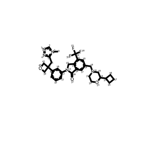 Cn1cnnc1CC1(c2cccc(N3Cc4c(cc(CN5CCOC(C6CCC6)C5)cc4C(F)(F)F)C3=O)c2)COC1